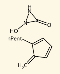 C=C1C=CC=C1CCCCC.O=C1NN1O